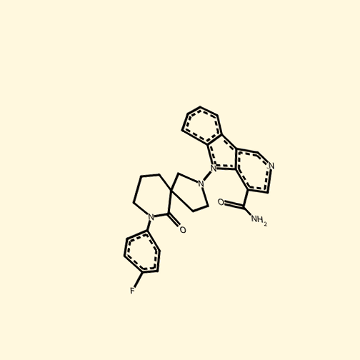 NC(=O)c1cncc2c3ccccc3n(N3CCC4(CCCN(c5ccc(F)cc5)C4=O)C3)c12